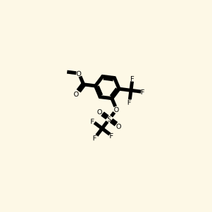 COC(=O)c1ccc(C(F)(F)F)c(OS(=O)(=O)C(F)(F)F)c1